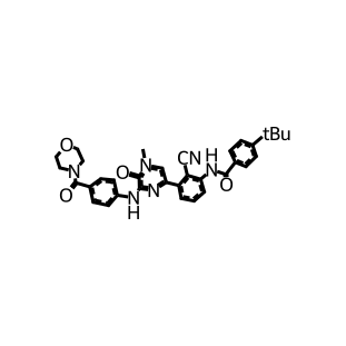 Cn1cc(-c2cccc(NC(=O)c3ccc(C(C)(C)C)cc3)c2C#N)nc(Nc2ccc(C(=O)N3CCOCC3)cc2)c1=O